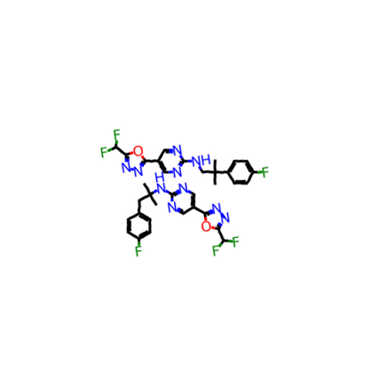 CC(C)(CNc1ncc(-c2nnc(C(F)F)o2)cn1)c1ccc(F)cc1.CC(C)(Cc1ccc(F)cc1)Nc1ncc(-c2nnc(C(F)F)o2)cn1